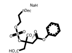 CCCCCCCCCCCCOS(=O)(=O)OC(CC(=O)O)(CC(=O)Oc1ccccc1)C(=O)O.[NaH]